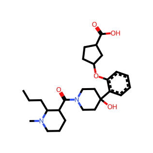 CCCC1C(C(=O)N2CCC(O)(c3ccccc3OC3CCC(C(=O)O)C3)CC2)CCCN1C